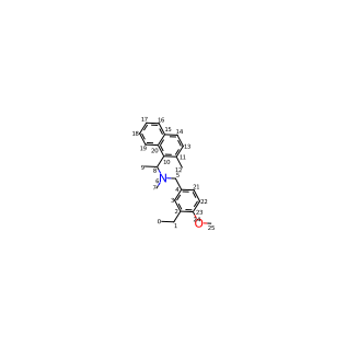 CCc1cc(CN(C)C(C)c2c(C)ccc3ccccc23)ccc1OC